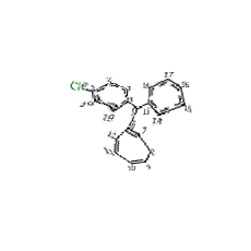 Clc1ccc(C(C2=CCC=CC=C2)c2ccccc2)cc1